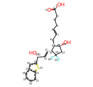 O=C(O)CCCC=CC[C@@H]1[C@@H](C=C[C@@H](O)c2cc3ccccc3s2)C(F)(F)C[C@@H]1O